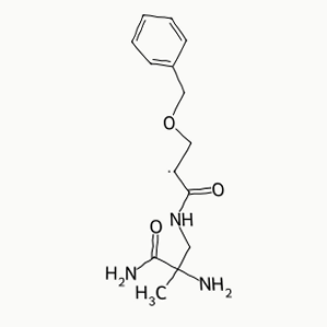 CC(N)(CNC(=O)[CH]COCc1ccccc1)C(N)=O